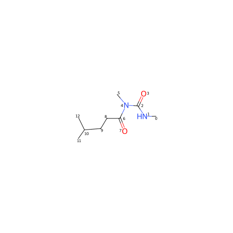 CNC(=O)N(C)C(=O)CCC(C)C